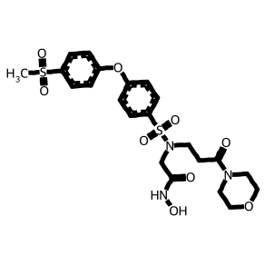 CS(=O)(=O)c1ccc(Oc2ccc(S(=O)(=O)N(CCC(=O)N3CCOCC3)CC(=O)NO)cc2)cc1